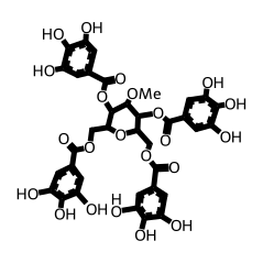 COC1C(OC(=O)c2cc(O)c(O)c(O)c2)C(COC(=O)c2cc(O)c(O)c(O)c2)OC(COC(=O)c2cc(O)c(O)c(O)c2)C1OC(=O)c1cc(O)c(O)c(O)c1